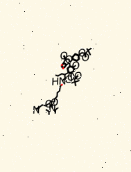 CCCC(C(=O)NCCCCCCOP(OCCC#N)N(C(C)C)C(C)C)c1cc2c(cc1OC(=O)C(C)(C)C)Oc1cc(OC(=O)C(C)(C)C)ccc1C21OC(=O)c2ccccc21